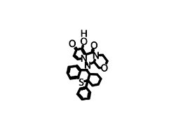 O=C1c2c(O)c(=O)ccn2N(C2c3ccccc3SC3(c4ccccc4)CCCCC23)C2COCCN12